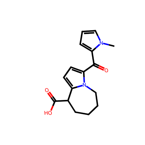 Cn1cccc1C(=O)c1ccc2n1CCCCC2C(=O)O